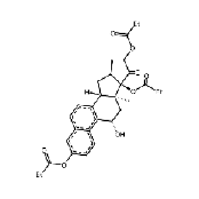 CCC(=O)OCC(=O)[C@@]1(OC(=O)CC)[C@H](C)C[C@H]2c3ccc4cc(OC(=O)CC)ccc4c3[C@@H](O)C[C@@]21C